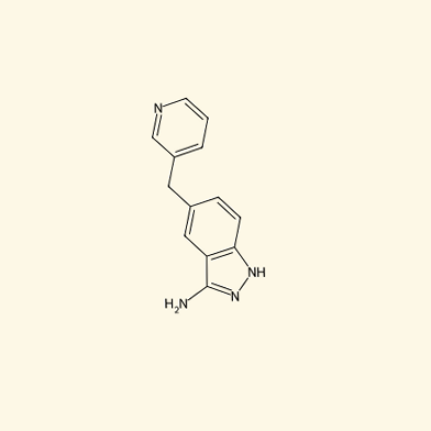 Nc1n[nH]c2ccc(Cc3cccnc3)cc12